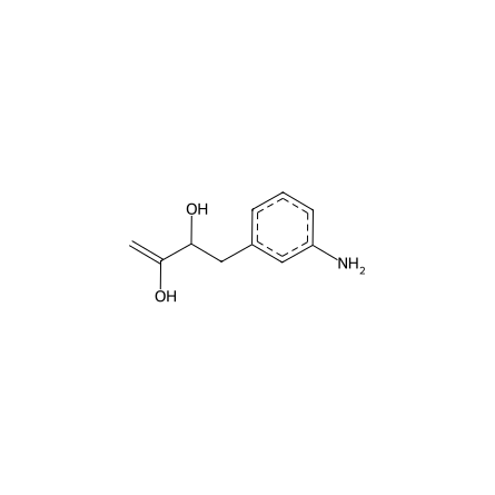 C=C(O)C(O)Cc1cccc(N)c1